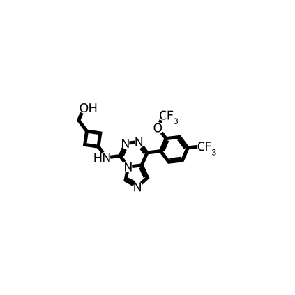 OCC1CC(Nc2nnc(-c3ccc(C(F)(F)F)cc3OC(F)(F)F)c3cncn23)C1